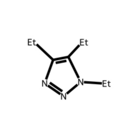 CCc1nnn(CC)c1CC